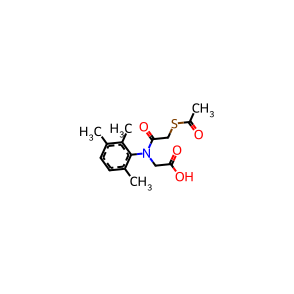 CC(=O)SCC(=O)N(CC(=O)O)c1c(C)ccc(C)c1C